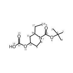 CC(C)(C)OC(=O)N1CCC(OC(=O)O)CC1CI